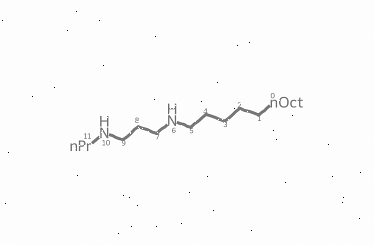 CCCCCCCCCCCCCNCCCNCCC